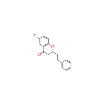 O=C1CC(CCc2ccccc2)Oc2ccc(F)cc21